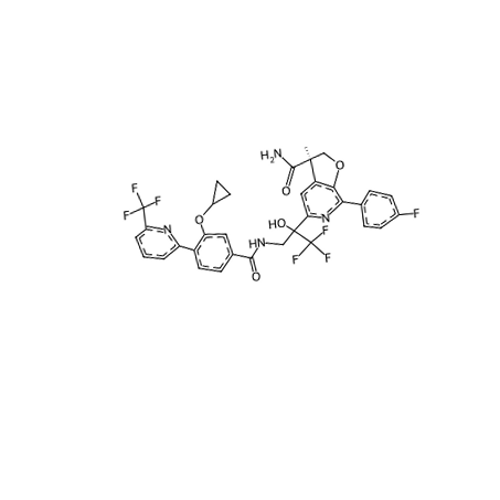 C[C@]1(C(N)=O)COc2c1cc(C(O)(CNC(=O)c1ccc(-c3cccc(C(F)(F)F)n3)c(OC3CC3)c1)C(F)(F)F)nc2-c1ccc(F)cc1